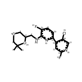 CC1(C)COCC(CNc2nc(-c3cc(F)ncc3Cl)ccc2F)O1